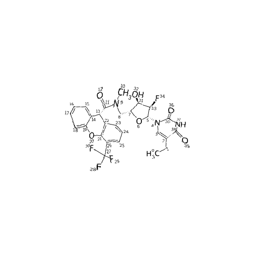 CCc1cn([C@@H]2O[C@H](CN(C)C(=O)[C@H]3c4ccccc4Oc4c3cccc4C(F)(F)F)[C@@H](O)[C@H]2F)c(=O)[nH]c1=O